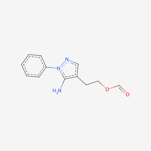 Nc1c(CCOC=O)cnn1-c1ccccc1